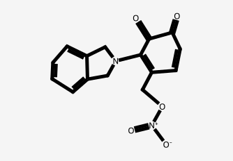 O=C1C=CC(CO[N+](=O)[O-])=C(N2Cc3ccccc3C2)C1=O